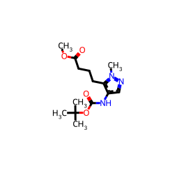 COC(=O)CCCc1c(NC(=O)OC(C)(C)C)cnn1C